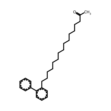 CC(=O)CCCCCCCCCCCCCCc1ccccc1-c1ccccc1